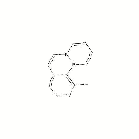 Cc1cccc2c1B1C=CC=CN1C=C2